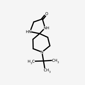 CC(C)(C)N1CCC2(CC1)NCC(=O)N2